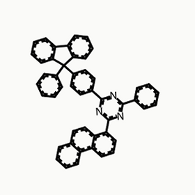 c1ccc(-c2nc(-c3ccc(C4(c5ccccc5)c5ccccc5-c5ccccc54)cc3)nc(-c3cccc4c3ccc3ccccc34)n2)cc1